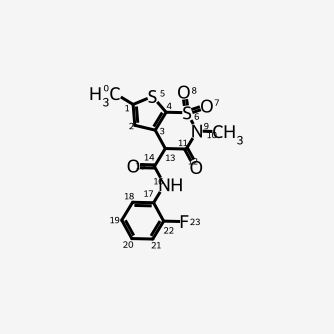 Cc1cc2c(s1)S(=O)(=O)N(C)C(=O)C2C(=O)Nc1ccccc1F